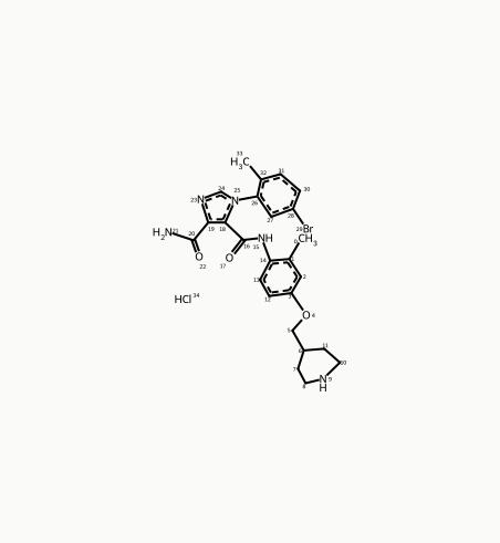 Cc1cc(OCC2CCNCC2)ccc1NC(=O)c1c(C(N)=O)ncn1-c1cc(Br)ccc1C.Cl